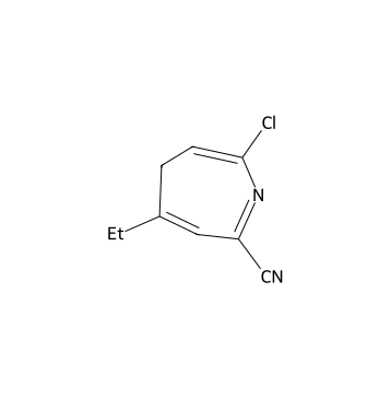 CCC1=CC(C#N)=NC(Cl)=CC1